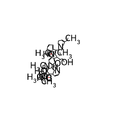 CCC1=CCCN(Cc2c([C@@](CC)(C(=O)CO)c3cc4c(cc3OC)N(C)[C@H]3[C@@](O)(C(=O)OC)[C@H](OC(C)=O)[C@]5(CC)C=CCN6CC[C@]43[C@@H]65)[nH]c3ccccc23)C1